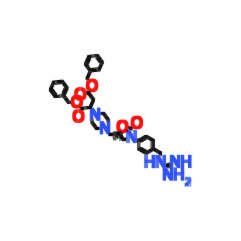 N=C(N)NCc1ccc(N2C[C@@H](CN3CCN(C(CC(=O)OCc4ccccc4)C(=O)OCc4ccccc4)CC3)OC2=O)cc1